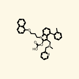 Cc1ccccc1-c1cccc2c1c(CN(C)Cc1ccccn1)c(OC(=O)O)n2CCCOc1cccc2ccccc12